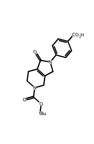 CC(C)(C)OC(=O)N1CCC2=C(C1)CN(c1ccc(C(=O)O)cc1)C2=O